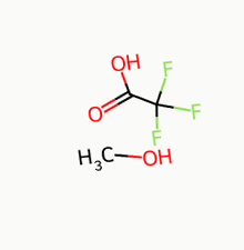 CO.O=C(O)C(F)(F)F